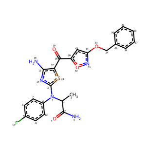 CC(C(N)=O)N(c1ccc(F)cc1)c1nc(N)c(C(=O)c2cc(OCc3ccccc3)no2)s1